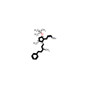 CCCC/C=C\CC1[C@@H](O[Si](C)(C)C)C[C@@H](C)[C@@H]1CC[C@@H](C)CCc1ccccc1